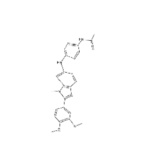 COc1ccc(-c2nc3cnc(Nc4ccc(NC(C)=O)cc4)cc3n2C)cc1OC